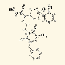 Cc1cn(Cc2ccccc2)c(=O)n(CCCN(C(=O)OC(C)(C)C)C2CCC(C#N)(c3ccccc3C#N)CC2)c1=O